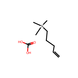 C=CCCC[Si](C)(C)C.O=C(O)O